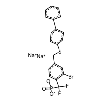 O=P([O-])([O-])C(F)(F)c1ccc(CSc2ccc(-c3ccccc3)cc2)cc1Br.[Na+].[Na+]